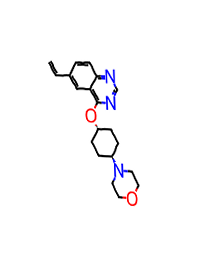 C=Cc1ccc2ncnc(O[C@H]3CC[C@H](N4CCOCC4)CC3)c2c1